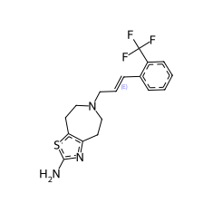 Nc1nc2c(s1)CCN(C/C=C/c1ccccc1C(F)(F)F)CC2